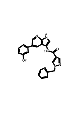 O=C(Nc1c[nH]c2ncc(-c3cccc(O)c3)cc12)c1cnn(Cc2ccccc2)c1